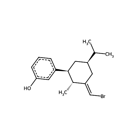 CC(C)[C@H]1C/C(=C\Br)[C@H](C)[C@@H](c2cccc(O)c2)C1